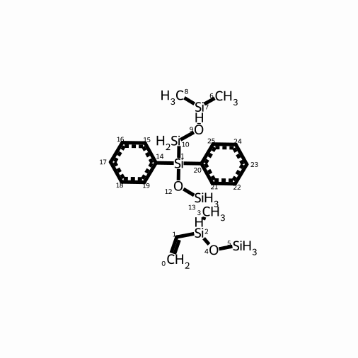 C=C[SiH](C)O[SiH3].C[SiH](C)O[SiH2][Si](O[SiH3])(c1ccccc1)c1ccccc1